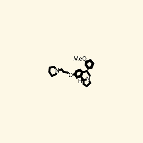 COc1cccc([C@@H]2CN3CCC[C@@H]3c3cc(OCCCN4CCCCC4)ccc32)c1